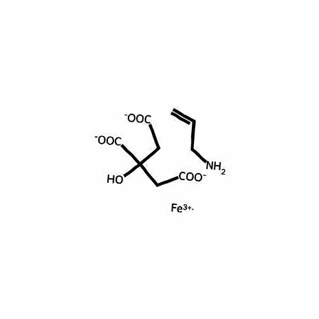 C=CCN.O=C([O-])CC(O)(CC(=O)[O-])C(=O)[O-].[Fe+3]